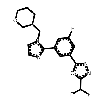 Fc1cc(-c2nnc(C(F)F)o2)cc(-c2nccn2CC2CCCOC2)c1